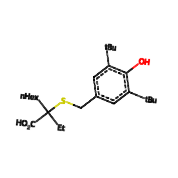 CCCCCCC(CC)(SCc1cc(C(C)(C)C)c(O)c(C(C)(C)C)c1)C(=O)O